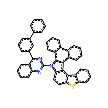 c1ccc(-c2cccc(-c3nc(-n4c5ccc6sc7ccccc7c6c5c5c6ccccc6c6ccccc6c54)nc4ccccc34)c2)cc1